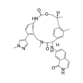 Cc1cc2ccc1[C@@H](C)COC(=O)Nc1ccc(-c3cnn(C)c3)c(c1)CN(C)C(=O)[C@@H]2Nc1ccc2cc[nH]c(=O)c2c1